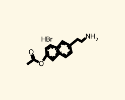 Br.CC(=O)Oc1ccc2cc(CCN)ccc2c1